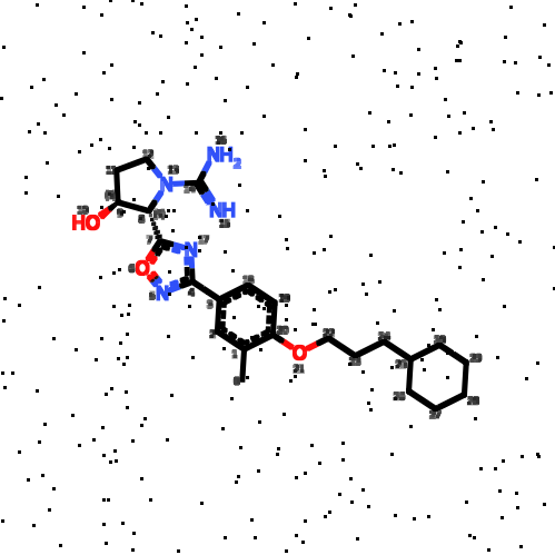 Cc1cc(-c2noc([C@@H]3[C@@H](O)CCN3C(=N)N)n2)ccc1OCCCC1CCCCC1